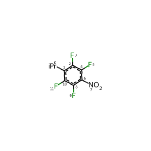 CC(C)c1c(F)c(F)c([N+](=O)[O-])c(F)c1F